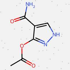 CC(=O)Oc1n[nH]cc1C(N)=O